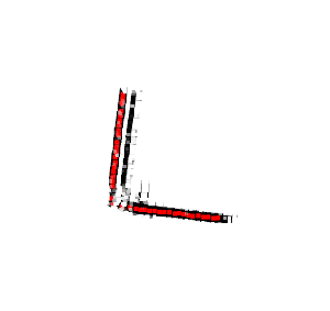 C=CC(=O)O.C=CC(=O)O.C=CC(=O)O.C=CC(=O)O.C=CC(=O)O.C=CC(=O)O.C=CC(=O)O.C=CC(=O)O.[Na+].[Na+].[Na+].[Na+].[Na+].[Na+].[Na+].[Na+].[Na+].[Na+].[Na+].[Na+].[Na+].[Na+].[Na+].[Na+].[Na+].[Na+].[Na+].[Na+].[Na+].[Na+].[Na+].[Na+].[Na+].[Na+].[Na+].[Na+].[Na+].[Na+].[Na+].[Na+].[Na+].[Na+].[Na+].[Na+].[Na+].[Na+].[Na+].[Na+].[Na+].[Na+].[Na+].[Na+].[Na+].[Na+].[Na+].[Na+].[Na+].[Na+].[Na+].[Na+].[Na+].[Na+].[Na+].[Na+].[Na+].[Na+].[Na+].[Na+].[Na+].[Na+].[Na+].[Na+].[Na+].[Na+].[Na+].[Na+].[Na+].[Na+].[Na+].[Na+].[Na+].[Na+].[Na+]